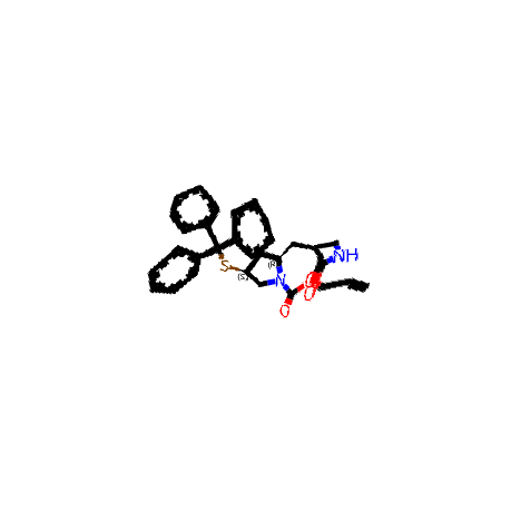 C=CCOC(=O)N1C[C@@H](SC(c2ccccc2)(c2ccccc2)c2ccccc2)C[C@H]1CC1CNC1=O